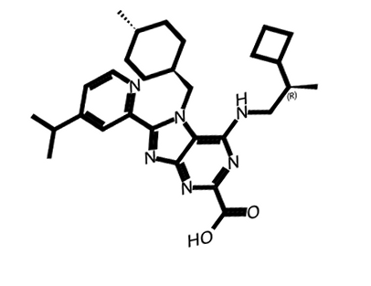 CC(C)c1ccnc(-c2nc3nc(C(=O)O)nc(NC[C@H](C)C4CCC4)c3n2C[C@H]2CC[C@H](C)CC2)c1